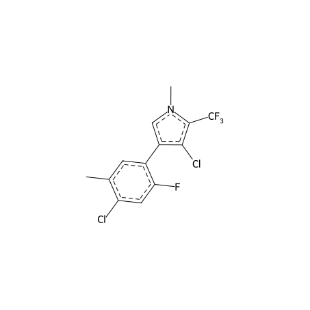 Cc1cc(-c2cn(C)c(C(F)(F)F)c2Cl)c(F)cc1Cl